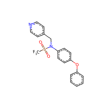 O=S(=O)(N(Cc1ccncc1)c1ccc(Oc2ccccc2)cc1)C(F)(F)F